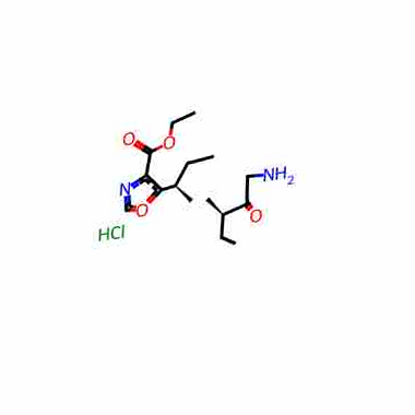 CCOC(=O)c1ncoc1[C@H](C)CC.CC[C@@H](C)C(=O)CN.Cl